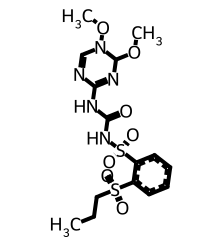 CCCS(=O)(=O)c1ccccc1S(=O)(=O)NC(=O)NC1=NC(OC)N(OC)C=N1